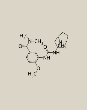 COc1ccc(C(=O)N(C)C)cc1NC(=O)NC1CC2CCC(C1)N2C